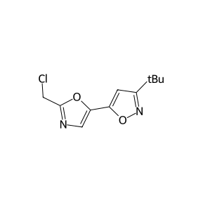 CC(C)(C)c1cc(-c2cnc(CCl)o2)on1